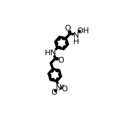 O=C(Cc1ccc([N+](=O)[O-])cc1)Nc1ccc(C(=O)NO)cc1